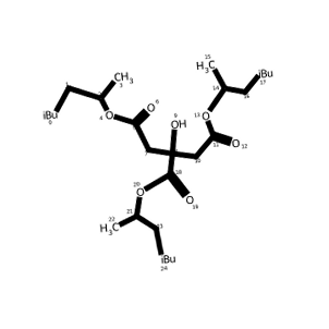 CCC(C)CC(C)OC(=O)CC(O)(CC(=O)OC(C)CC(C)CC)C(=O)OC(C)CC(C)CC